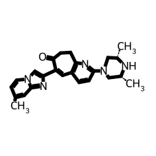 Cc1ccn2cc(C3=Cc4ccc(N5C[C@@H](C)N[C@@H](C)C5)nc4CCC3=O)nc2c1